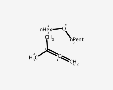 C=C=C(C)C.CCCCCCOCCCCC